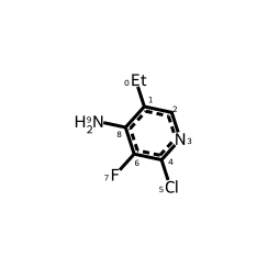 CCc1cnc(Cl)c(F)c1N